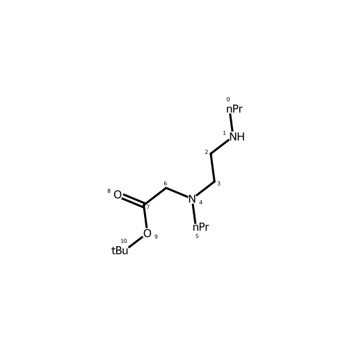 CCCNCCN(CCC)CC(=O)OC(C)(C)C